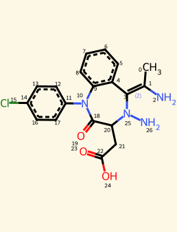 C/C(N)=C1\c2ccccc2N(c2ccc(Cl)cc2)C(=O)C(CC(=O)O)N1N